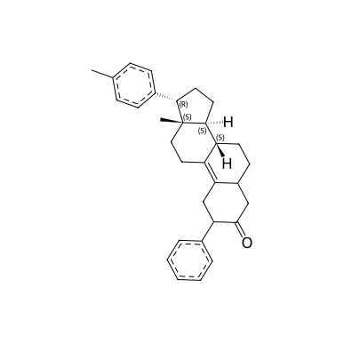 Cc1ccc([C@@H]2CC[C@H]3[C@@H]4CCC5CC(=O)C(c6ccccc6)CC5=C4CC[C@]23C)cc1